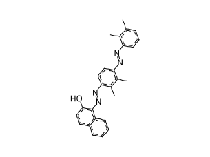 Cc1cccc(/N=N/c2ccc(/N=N/c3c(O)ccc4ccccc34)c(C)c2C)c1C